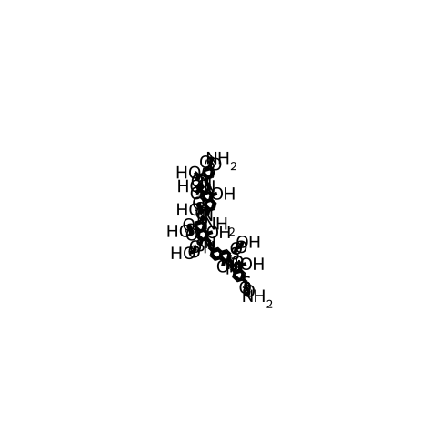 NOOSc1ccc(N=Nc2c(SOOO)cc3cc(N=Nc4c(SOOO)cc5c(S(=O)(=O)O)cc(N=Nc6ccc7c(O)c(N=Nc8ccc(S(N)(=O)=O)cc8C(=O)O)c(S(=O)(=O)O)cc7c6S(=O)(=O)O)c(N)c5c4O)ccc3c2O)c(C(=O)O)c1